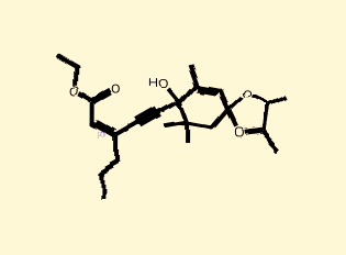 CCC/C(C#CC1(O)C(C)=CC2(CC1(C)C)OC(C)C(C)O2)=C/C(=O)OCC